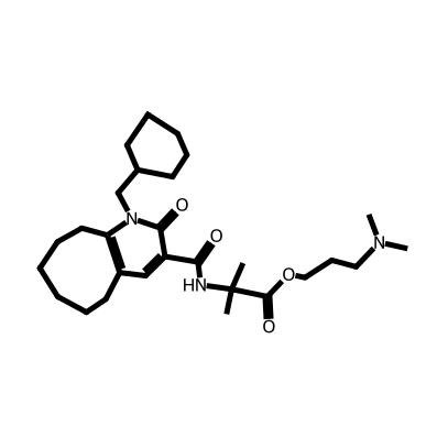 CN(C)CCCOC(=O)C(C)(C)NC(=O)c1cc2c(n(CC3CCCCC3)c1=O)CCCCCC2